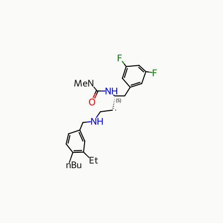 CCCCc1ccc(CNC[CH][C@@H](Cc2cc(F)cc(F)c2)NC(=O)NC)cc1CC